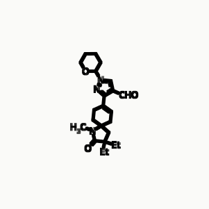 CCC1(CC)CC2(CC=C(c3nn(C4CCCCO4)cc3C=O)CC2)N(C)C1=O